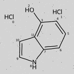 Cl.Cl.Oc1cccc2[nH]ccc12